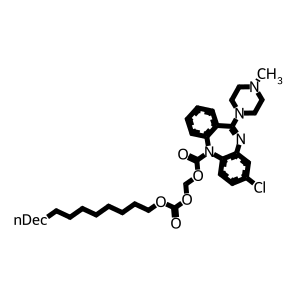 CCCCCCCCCCCCCCCCCCOC(=O)OCOC(=O)N1c2ccc(Cl)cc2N=C(N2CCN(C)CC2)c2ccccc21